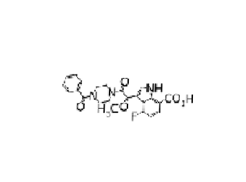 C[C@@H]1CN(C(=O)c2ccccc2)CCN1C(=O)C(=O)c1c[nH]c2c(C(=O)O)ccc(F)c12